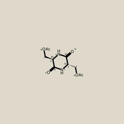 CC(=O)OC[C@@H]1NC(=O)[C@@H](COC(C)=O)NC1=O